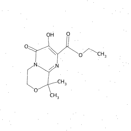 CCOC(=O)c1nc2n(c(=O)c1O)CCOC2(C)C